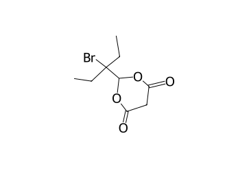 CCC(Br)(CC)C1OC(=O)CC(=O)O1